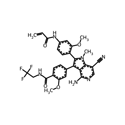 C=CC(=O)Nc1ccc(-c2c(-c3ccc(C(=O)NCC(F)(F)F)c(OC)c3)c3c(N)ncc(C#N)c3n2C)c(OC)c1